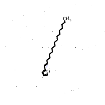 CCCCCCCCCCCCCCC/C=C/c1ccco1